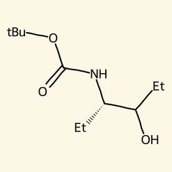 CCC(O)[C@H](CC)NC(=O)OC(C)(C)C